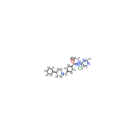 Cc1ncc(Cl)c(N(CC(C)C)NC(=O)c2ccc(CN3CCC(c4ccccc4)CC3)cc2)n1